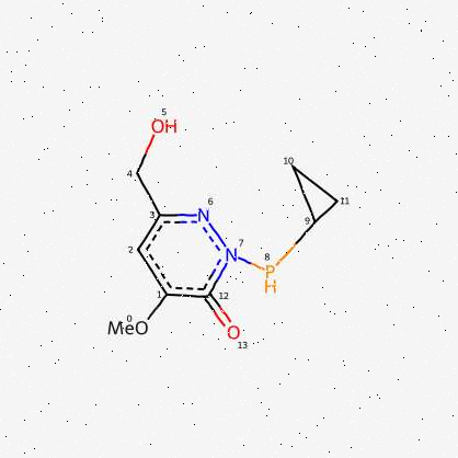 COc1cc(CO)nn(PC2CC2)c1=O